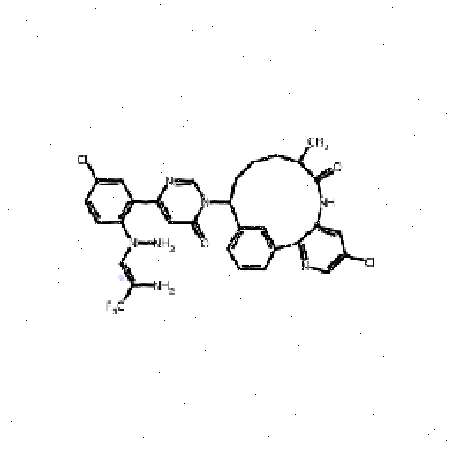 CC1CCCC(n2cnc(-c3cc(Cl)ccc3N(N)/C=C(\N)C(F)(F)F)cc2=O)c2cccc(c2)-c2ncc(Cl)cc2NC1=O